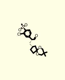 CC1(C)COC2(CC[C@H](C[C@@H](C=O)c3ccc(S(C)(=O)=O)c(Cl)c3)C2)OC1